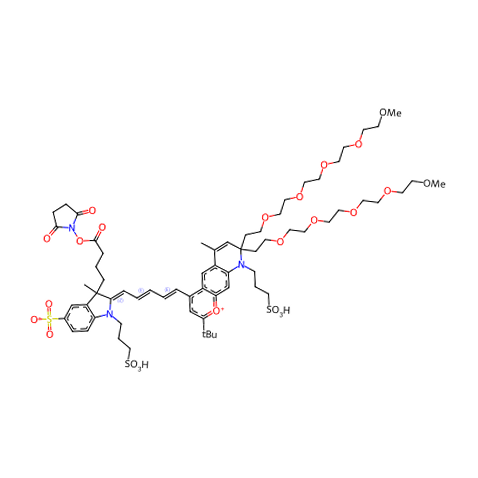 COCCOCCOCCOCCOCCC1(CCOCCOCCOCCOCCOC)C=C(C)c2cc3c(/C=C/C=C/C=C4\N(CCCS(=O)(=O)O)c5ccc(S(=O)(=O)[O-])cc5C4(C)CCCC(=O)ON4C(=O)CCC4=O)cc(C(C)(C)C)[o+]c3cc2N1CCCS(=O)(=O)O